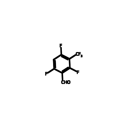 O=Cc1c(F)cc(F)c(C(F)(F)F)c1F